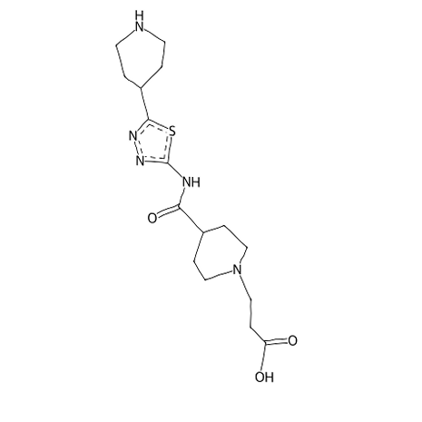 O=C(O)CCN1CCC(C(=O)Nc2nnc(C3CCNCC3)s2)CC1